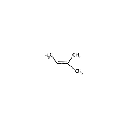 [CH2]/C(C)=C/C